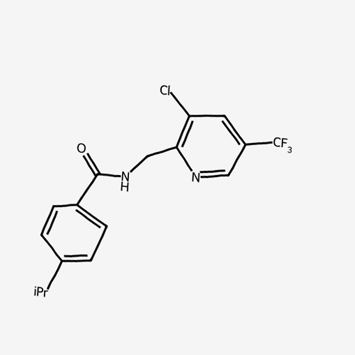 CC(C)c1ccc(C(=O)NCc2ncc(C(F)(F)F)cc2Cl)cc1